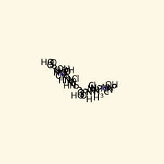 Cc1nn(-c2ccccc2)c(O)c1/N=N/c1cccc(Nc2nc(Cl)nc(Nc3ccc(C=Cc4ccc(Nc5nc(Cl)nc(Nc6ccc(S(=O)(=O)O)c(/N=N/c7c(C)nn(-c8ccc(S(=O)(=O)O)cc8)c7O)c6)n5)cc4)c(S(=O)(=O)O)c3)n2)c1